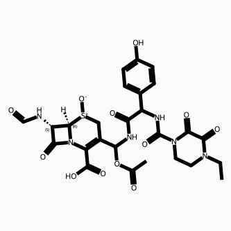 CCN1CCN(C(=O)NC(C(=O)NC(OC(C)=O)C2=C(C(=O)O)N3C(=O)[C@H](NC=O)[C@H]3[S+]([O-])C2)c2ccc(O)cc2)C(=O)C1=O